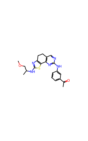 COCC(C)Nc1nc2c(s1)-c1nc(Nc3cccc(C(C)=O)c3)ncc1CC2